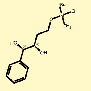 CC(C)(C)[Si](C)(C)OCC[C@@H](O)[C@H](O)c1ccccc1